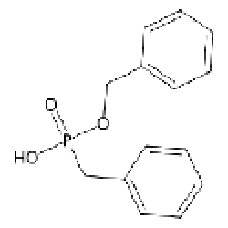 O=P(O)(Cc1ccccc1)OCc1ccccc1